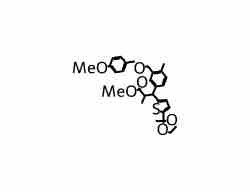 COC(=O)C(C)C(c1ccc(C)c(COCc2ccc(OC)cc2)c1)c1ccc(C2(C)OCCO2)s1